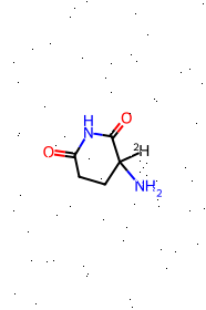 [2H]C1(N)CCC(=O)NC1=O